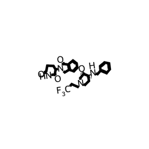 O=C1CCC(N2Cc3cc(O[C@@H]4CN(CCC(F)(F)F)CC[C@H]4NCc4ccccc4)ccc3C2=O)C(=O)N1